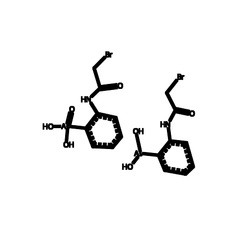 O=C(CBr)Nc1ccccc1[As](=O)(O)O.O=C(CBr)Nc1ccccc1[As](O)O